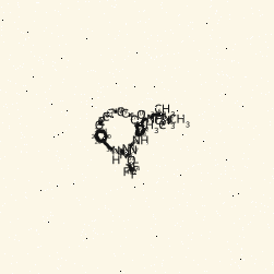 CN(C)CC(C)(C)CNC(=O)c1ccc2cc1OCCCCCCCOc1ccc(cc1)CNc1nc(nc(OCC(F)(F)F)n1)N2